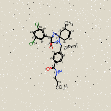 CCCCC[C@H](c1ccc(C(=O)NCCC(=O)O)cc1)N1C(=O)C(c2cc(Cl)cc(Cl)c2)=NC12CC=CC(C)C2